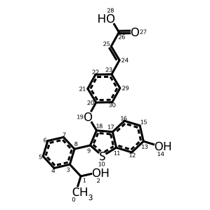 CC(O)c1ccccc1-c1sc2cc(O)ccc2c1Oc1ccc(C=CC(=O)O)cc1